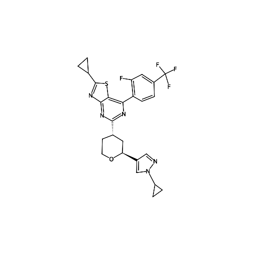 Fc1cc(C(F)(F)F)ccc1-c1nc([C@H]2CCO[C@H](c3cnn(C4CC4)c3)C2)nc2nc(C3CC3)sc12